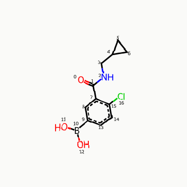 O=C(NCC1CC1)c1cc(B(O)O)ccc1Cl